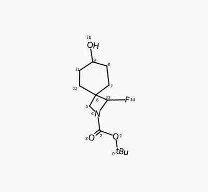 CC(C)(C)OC(=O)N1CC2(CCC(O)CC2)C1F